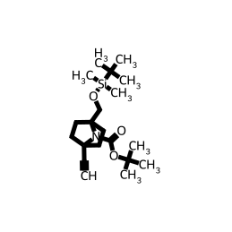 C#CC12CCC(CO[Si](C)(C)C(C)(C)C)(CC1)N2C(=O)OC(C)(C)C